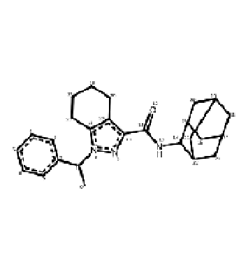 CC(c1ccccc1)n1nc(C(=O)NC2C3CC4CC(C3)CC2C4)c2c1CCCC2